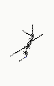 CCCCCC/C=C\COC(=O)CCCN(CCCCCCCCCCCCCC)CC(=O)N1CCN(C(=O)CN(CCCCCCCCC)CCN(CCCCCCCCC)CCCCCCCCC)CC1